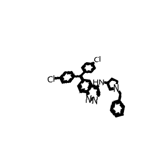 Clc1ccc(C(c2ccc(Cl)cc2)c2ccc3nncc(NC4CCN(Cc5ccccc5)C4)c3c2)cc1